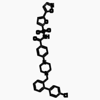 O=C(NS(=O)(=O)c1ccc(-c2ccno2)o1)c1ccc(N2CCN(Cc3ccccc3-c3ccc(Cl)cc3)CC2)cc1